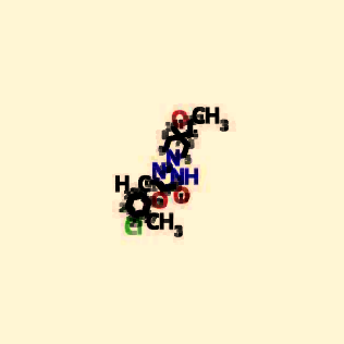 Cc1nc(N2CCC3(CC2)CO[C@@H](C)C3)[nH]c(=O)c1Oc1cccc(Cl)c1C